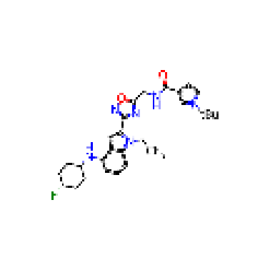 CC(C)(C)n1ccc(C(=O)NCc2nc(-c3cc4c(N[C@H]5CC[C@@H](F)CC5)cccc4n3CC(F)(F)F)no2)c1